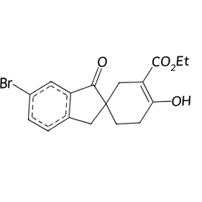 CCOC(=O)C1=C(O)CCC2(C1)Cc1ccc(Br)cc1C2=O